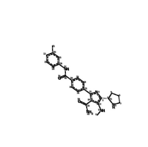 CNn1c([C@@H]2CCCN2)nc(-c2ccc(C(=O)Nc3cc(C)ccn3)cc2)c1C(N)=O